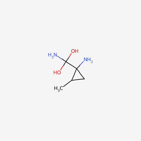 CC1CC1(N)C(N)(O)O